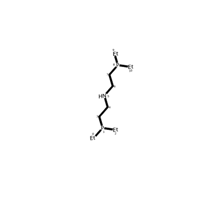 CCP(CC)CCNCCP(CC)CC